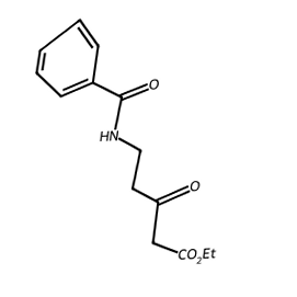 CCOC(=O)CC(=O)CCNC(=O)c1ccccc1